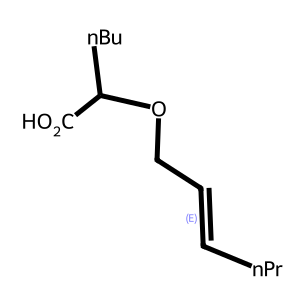 CCC/C=C/COC(CCCC)C(=O)O